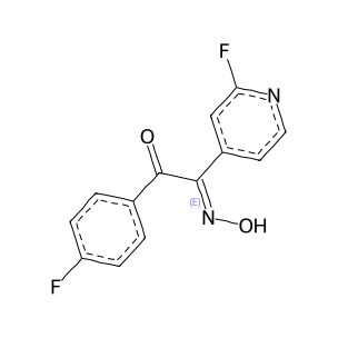 O=C(/C(=N/O)c1ccnc(F)c1)c1ccc(F)cc1